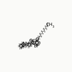 CCCCCCCCCCCCOc1cccc(CN(C(C)=O)c2ccc(Cc3[nH]cc4cccc[n+]34)cc2)c1.[Br-]